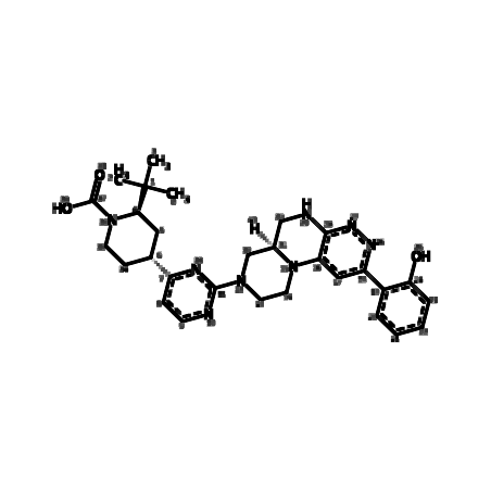 CC(C)(C)[C@H]1C[C@H](c2ccnc(N3CCN4c5cc(-c6ccccc6O)nnc5NC[C@@H]4C3)n2)CCN1C(=O)O